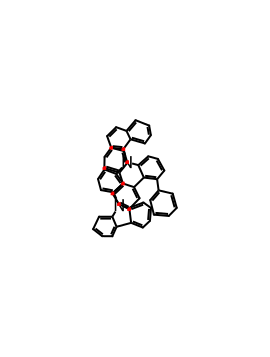 c1ccc(-c2ccccc2-c2c(-c3ccccc3)cccc2N(c2cccc(-n3c4ccccc4c4ccccc43)c2)c2cccc3ccccc23)cc1